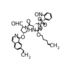 C=CCCCOC(=O)N[C@@H](CNS(=O)(=O)c1ccccc1N=O)C(=O)N1C[C@H](Oc2nccc3ccc(C=C)cc23)C[C@H]1C=O